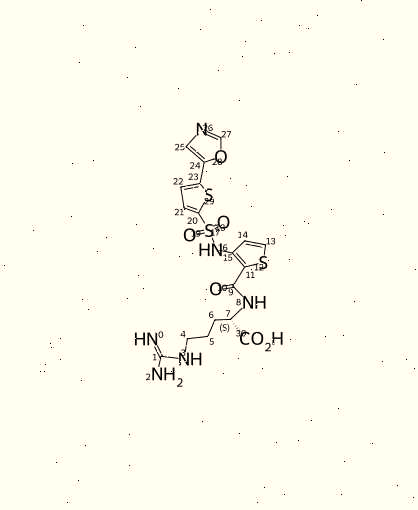 N=C(N)NCCC[C@H](NC(=O)c1sccc1NS(=O)(=O)c1ccc(-c2cnco2)s1)C(=O)O